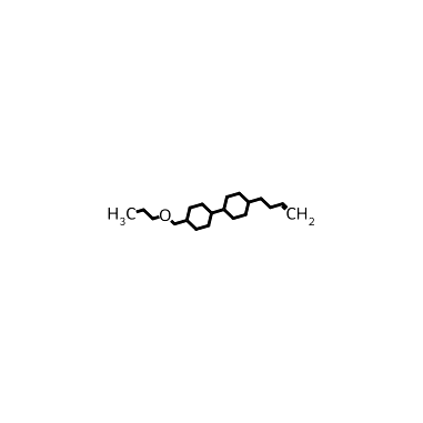 C=CCCC1CCC(C2CCC(COCCC)CC2)CC1